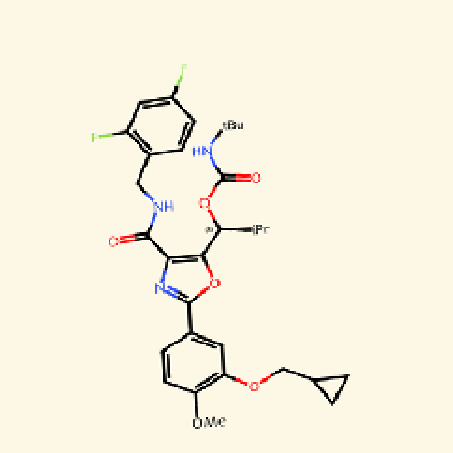 COc1ccc(-c2nc(C(=O)NCc3ccc(F)cc3F)c([C@@H](OC(=O)NC(C)(C)C)C(C)C)o2)cc1OCC1CC1